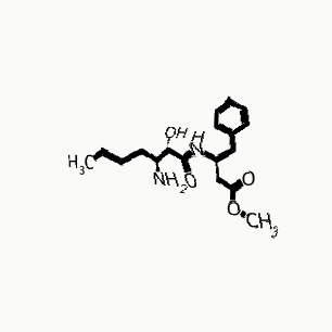 CCCC[C@H](N)[C@H](O)C(=O)N[C@H](CC(=O)OC)Cc1ccccc1